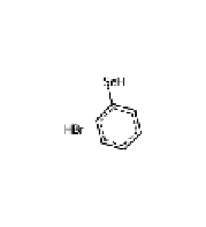 Br.[SeH]c1ccccc1